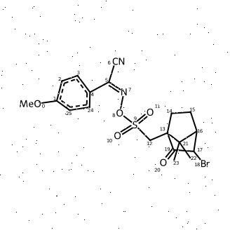 COc1ccc(/C(C#N)=N\OS(=O)(=O)CC23CCC(C(Br)C2=O)C3(C)C)cc1